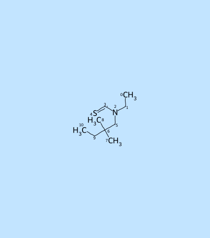 CCN([C]=S)CC(C)(C)CC